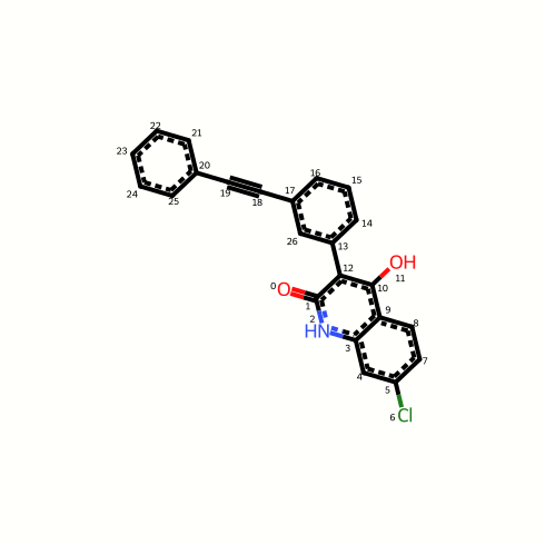 O=c1[nH]c2cc(Cl)ccc2c(O)c1-c1cccc(C#Cc2ccccc2)c1